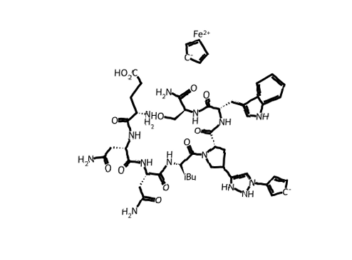 CC[C@H](C)[C@H](NC(=O)[C@H](CC(N)=O)NC(=O)[C@H](CC(N)=O)NC(=O)[C@@H](N)CCC(=O)O)C(=O)N1CC(C2=CN(c3cc[cH-]c3)NN2)C[C@H]1C(=O)N[C@@H](Cc1c[nH]c2ccccc12)C(=O)N[C@@H](CO)C(N)=O.[Fe+2].c1cc[cH-]c1